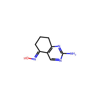 Nc1ncc2c(n1)CCCC2=NO